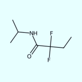 CCC(F)(F)C(=O)NC(C)C